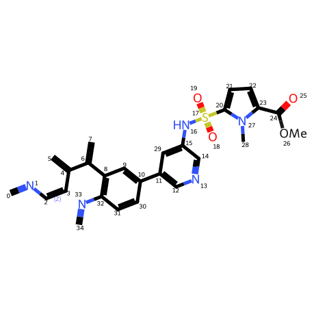 C=N/C=C\C(=C)C(=C)c1cc(-c2cncc(NS(=O)(=O)c3ccc(C(=O)OC)n3C)c2)ccc1N=C